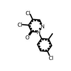 Cc1cc(Cl)ccc1-n1ncc(Cl)c(Cl)c1=O